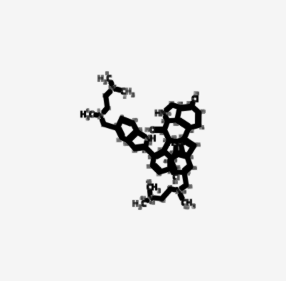 CN(C)CCN(C)Cc1ccc2[nH]c(-c3ccc(Cl)c4c3C(C(=O)C3NCc5c(Cl)ccc(-c6cc7cc(CN(C)CCN(C)C)ccc7[nH]6)c53)NC4)cc2c1